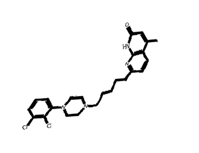 Cc1cc(=O)[nH]c2nc(CCCCCN3CCN(c4cccc(Cl)c4Cl)CC3)ccc12